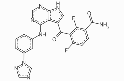 NC(=O)c1ccc(F)c(C(=O)c2c[nH]c3ncnc(Nc4cccc(-n5cncn5)c4)c23)c1F